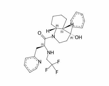 O=C([C@H](Cc1ccccn1)NCC(F)(F)F)N1CC[C@](O)(c2ccccc2)[C@H]2CCCC[C@H]21